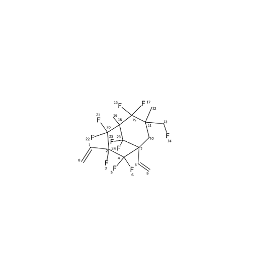 C=CC1(F)C(F)(F)C2(C=C)CC(C)(CF)C(F)(F)C(C)(C1(F)F)C2(F)F